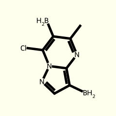 Bc1c(C)nc2c(B)cnn2c1Cl